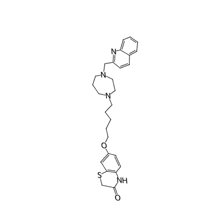 O=C1CSc2cc(OCCCCCN3CCCN(Cc4ccc5ccccc5n4)CC3)ccc2N1